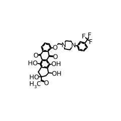 CC(=O)C1(O)Cc2c(O)c3c(c(O)c2C(O)C1)C(=O)c1c(OCN2CCN(c4cccc(C(F)(F)F)c4)CC2)cccc1C3=O